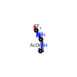 CC(=O)OCS/C(=N\c1c(C)cccc1C)N/N=C/c1ccc(C(=N)/N=C\Nc2ccc(OC(F)(F)F)cc2)cc1